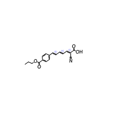 CCCOC(=O)c1ccc(/C=C/C=C/C=C(\C#N)C(=O)O)cc1